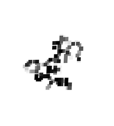 CC(N)C(=O)NC(CNC(=O)[C@@H]1C[C@H](C)CC[C@H]1C(C)C)c1ccccc1